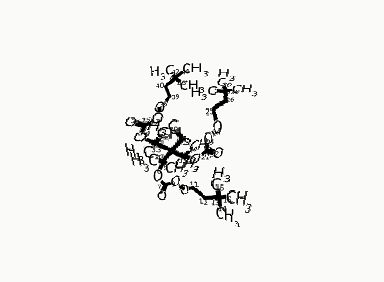 CCC(C(C)(C)OC(=O)OOCCC(C)(C)C)(C(C)(C)OC(=O)OOCCC(C)(C)C)C(C)(C)OC(=O)OOCCC(C)(C)C